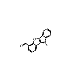 Cn1c2ccccc2c2oc3c(C=O)cccc3c21